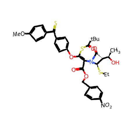 CCS[C@@H]1[C@@H]([C@@H](C)O)C(=O)N1C(C(=O)OCc1ccc([N+](=O)[O-])cc1)=C(Oc1ccc(C(=S)c2ccc(OC)cc2)cc1)SC(=O)C(C)(C)C